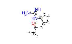 CC(C)C(=O)CC1CCCC1NC(=N)N